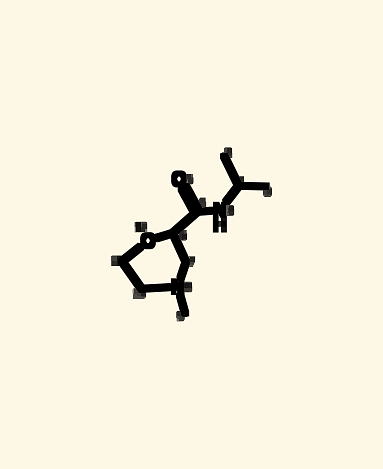 CC(C)NC(=O)C1CN(C)CCO1